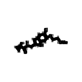 COCCOc1cc2[nH]c(CNC(=O)C3(C)CC3)cc2cc1Cl